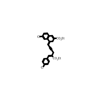 CCOC(=O)C(=Cc1ccc(Cl)cc1)CC#CC=C1CC(C(=O)OCC)=Cc2ccc(Cl)cc21